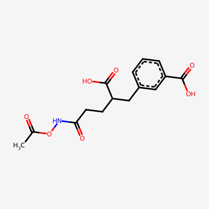 CC(=O)ONC(=O)CCC(Cc1cccc(C(=O)O)c1)C(=O)O